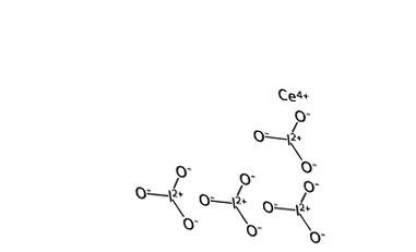 [Ce+4].[O-][I+2]([O-])[O-].[O-][I+2]([O-])[O-].[O-][I+2]([O-])[O-].[O-][I+2]([O-])[O-]